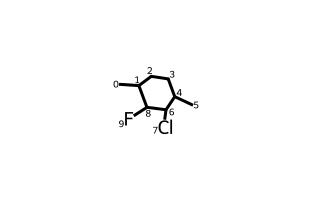 CC1CCC(C)C(Cl)C1F